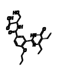 CCCOc1ccc(C(=O)NC(CO)C(=O)O)cc1-c1nc(CC)c(CC)c(=O)[nH]1